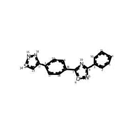 c1ccc(-c2noc(-c3ccc(-c4csnn4)cc3)n2)cc1